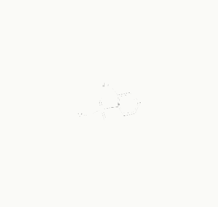 CCCCc1ccccc1S(=O)(=O)OC